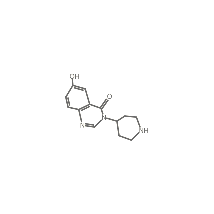 O=c1c2cc(O)ccc2ncn1C1CCNCC1